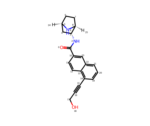 O=C(N[C@@H]1C[C@H]2CC[C@@H]1N2)c1ccc2c(C#CCO)cccc2c1